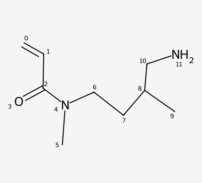 C=CC(=O)N(C)CCC(C)CN